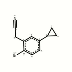 N#CCc1cc(C2CC2)ccc1Br